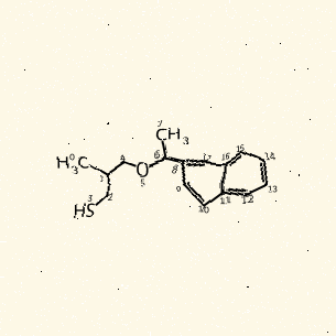 CC(CS)COC(C)c1ccc2ccccc2c1